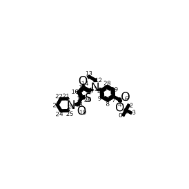 CC(C)(C)OC(=O)c1ccc(N2CCOc3cc(C(=O)N4CCCCC4)sc32)cc1